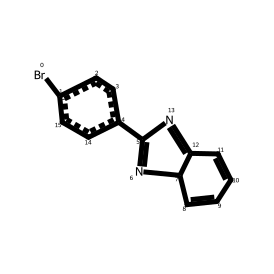 Brc1ccc(C2=NC3C=CC=CC3=N2)cc1